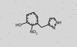 O=[N+]([O-])c1c(O)cccc1Cc1cc[nH]n1